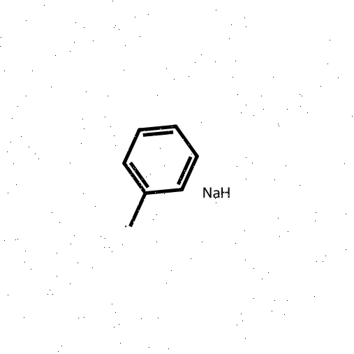 [CH2]c1ccccc1.[NaH]